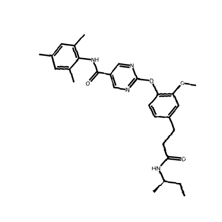 CC[C@@H](C)NC(=O)CCc1ccc(Oc2ncc(C(=O)Nc3c(C)cc(C)cc3C)cn2)c(OC)c1